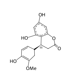 COC1=C(O)C=CC([C@@H]2CC(=O)Oc3cc(O)cc(O)c32)C1